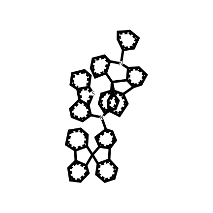 c1ccc(N2c3ccccc3C3(c4ccccc4)c4cc(N(c5ccc6c(c5)C5(c7ccccc7-c7ccccc75)c5ccccc5-6)c5cccc6c5sc5ccccc56)ccc4-c4cccc2c43)cc1